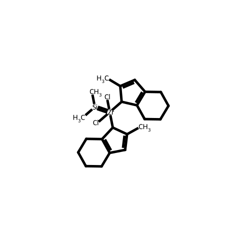 CC1=CC2=C(CCCC2)[CH]1[Zr]([Cl])([Cl])([CH]1C(C)=CC2=C1CCCC2)=[Si](C)C